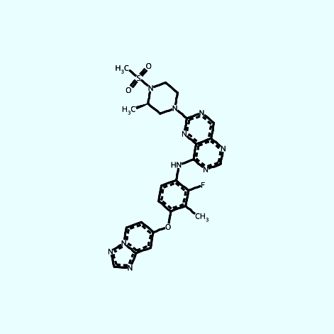 Cc1c(Oc2ccn3ncnc3c2)ccc(Nc2ncnc3cnc(N4CCN(S(C)(=O)=O)[C@H](C)C4)nc23)c1F